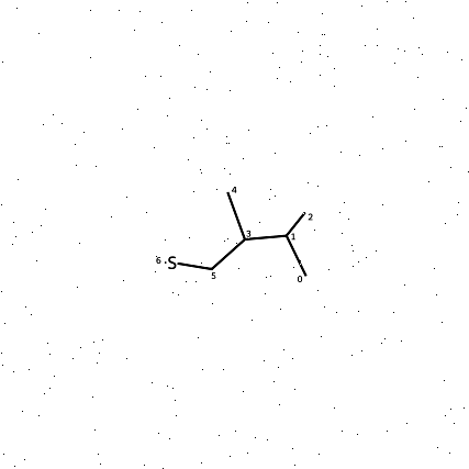 CC(C)C(C)C[S]